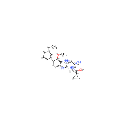 CCC1C=C(c2cccc(N/C(=C/C(=N)NC(=O)C3CC3)C(C)=N)c2OC)C=CC1